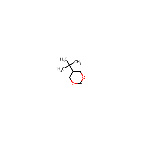 CC(C)(C)C1CO[CH]OC1